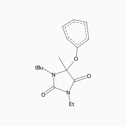 CCN1C(=O)N(C(C)(C)C)C(C)(Oc2ccccc2)C1=O